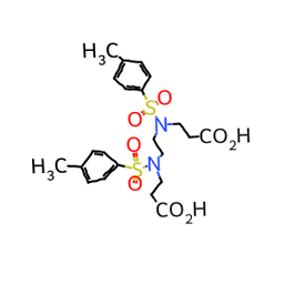 Cc1ccc(S(=O)(=O)N(CCC(=O)O)CCN(CCC(=O)O)S(=O)(=O)c2ccc(C)cc2)cc1